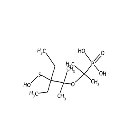 CCC(CC)(SO)C(C)(C)OC(C)(C)P(=O)(O)O